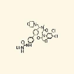 CCNC(=O)Nc1ccc(-c2ccc(C(CN3CCOCC3)N(C)C(=O)CN3C(=O)COc4cc(Cl)c(Cl)cc43)cc2)cc1